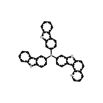 c1cnc2c(c1)ccc1oc3cc(N(c4ccc5c(c4)oc4ccccc45)c4ccc5sc6ccccc6c5c4)ccc3c12